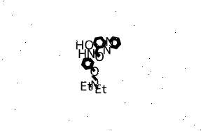 CCN(CC)CCOc1cccc(NC(=O)C2=C(O)CCc3c2nc2ccccn32)c1